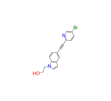 OCCn1ccc2cc(C#Cc3ccc(Br)cn3)ccc21